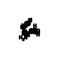 Nc1nn(-c2ccc3c(c2)NC(O)N3)c2cc(-c3ccnn3Cc3ccc(Cl)cn3)cnc12